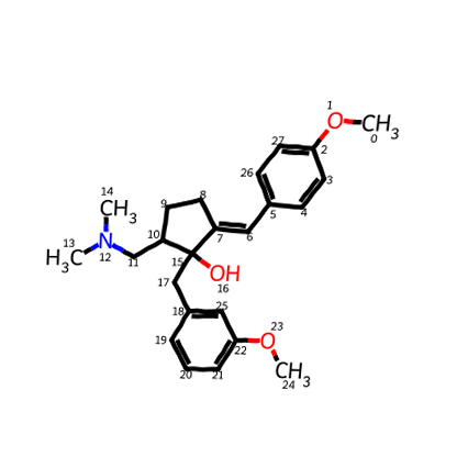 COc1ccc(/C=C2\CCC(CN(C)C)C2(O)Cc2cccc(OC)c2)cc1